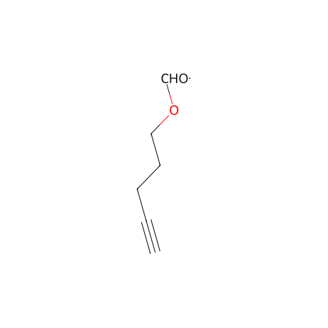 C#CCCCO[C]=O